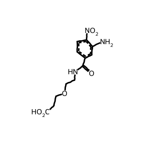 Nc1cc(C(=O)NCCOCCC(=O)O)ccc1[N+](=O)[O-]